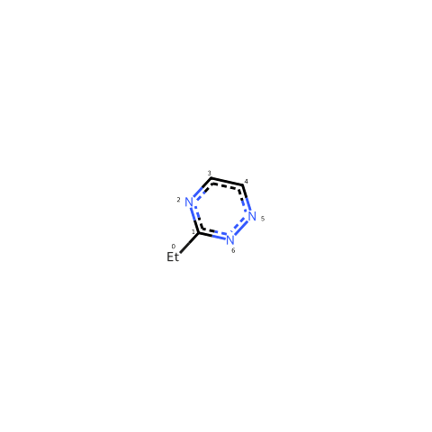 [CH2]Cc1nccnn1